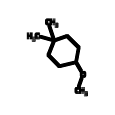 COC1CCC(C)(C)CC1